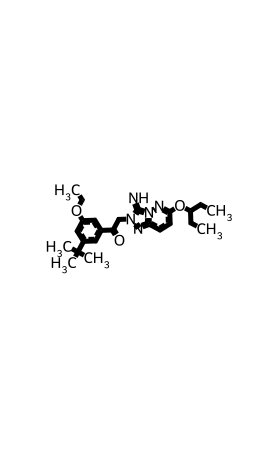 CCOc1cc(C(=O)Cn2nc3ccc(OC(CC)CC)nn3c2=N)cc(C(C)(C)C)c1